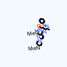 CNC1CCN(c2ccc(-c3nc4c(C)nn(-c5ccccc5)c4c(=O)[nH]3)c(OC)n2)CC1